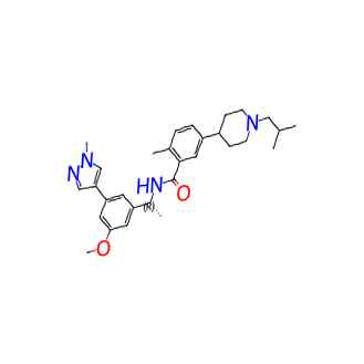 COc1cc(-c2cnn(C)c2)cc([C@@H](C)NC(=O)c2cc(C3CCN(CC(C)C)CC3)ccc2C)c1